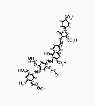 Nc1cc(S(=O)(=O)O)c(/N=N/c2cc(OCCO)c(/N=N/c3c(S(=O)(=O)O)cc4cc(/N=N/C5C(=O)N(c6ccc(S(=O)(=O)O)cc6)N=C5C(=O)O)ccc4c3O)cc2OCCO)cc1SOOO